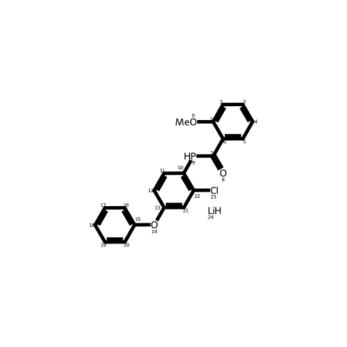 COc1ccccc1C(=O)Pc1ccc(Oc2ccccc2)cc1Cl.[LiH]